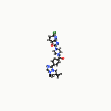 CC1(Cn2ncnc2-c2ccc(C(=O)N3CCN(c4nc5nc(Cl)ccc5o4)CC3)cc2)CC1